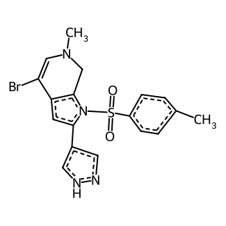 Cc1ccc(S(=O)(=O)n2c(-c3cn[nH]c3)cc3c2CN(C)C=C3Br)cc1